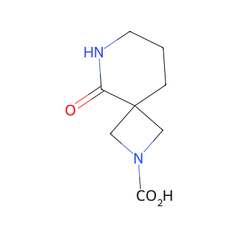 O=C(O)N1CC2(CCCNC2=O)C1